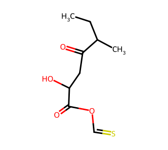 CCC(C)C(=O)CC(O)C(=O)OC=S